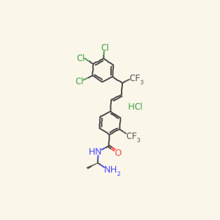 C[C@H](N)NC(=O)c1ccc(C=CC(c2cc(Cl)c(Cl)c(Cl)c2)C(F)(F)F)cc1C(F)(F)F.Cl